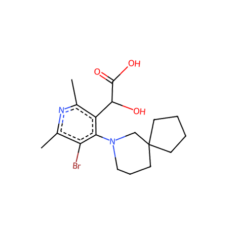 Cc1nc(C)c(C(O)C(=O)O)c(N2CCCC3(CCCC3)C2)c1Br